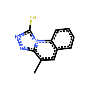 Cc1cc2ccccc2n2c(S)nnc12